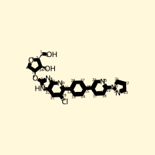 OC[C@H]1OC[C@@H](Oc2nc3nc(-c4ccc(-c5ccc(-n6cccn6)nc5)cc4)c(Cl)cc3[nH]2)[C@@H]1O